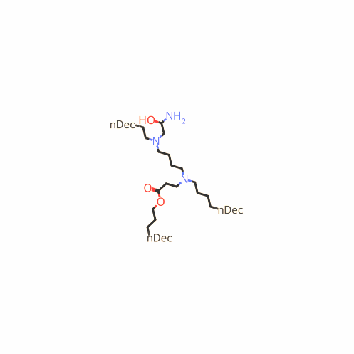 CCCCCCCCCCCCCCN(CCCCN(CCCCCCCCCCCC)CC(N)O)CCC(=O)OCCCCCCCCCCCCC